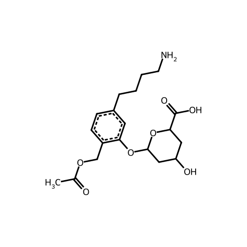 CC(=O)OCc1ccc(CCCCN)cc1OC1CC(O)CC(C(=O)O)O1